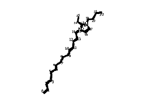 CCCCCCCCCCCCCCC[n+]1ccn(CCCC)c1CC